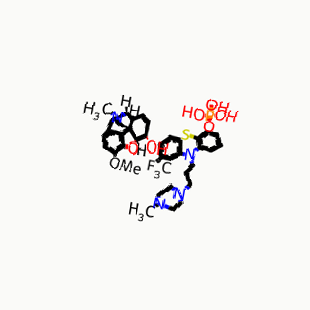 CN1CCN(CCCN2c3ccccc3Sc3ccc(C(F)(F)F)cc32)CC1.COc1ccc2c3c1O[C@H]1[C@@H](O)C=C[C@H]4[C@@H](C2)N(C)CC[C@@]341.O=P(O)(O)O